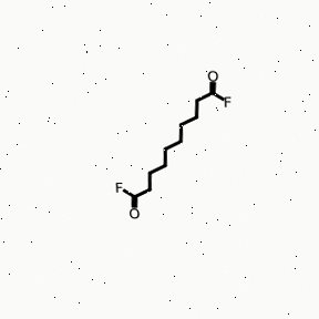 O=C(F)CCCCCCCCC(=O)F